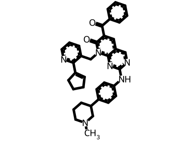 CN1CCCC(c2ccc(Nc3ncc4cc(C(=O)c5ccccc5)c(=O)n(Cc5cccnc5C5=CCCC5)c4n3)cc2)C1